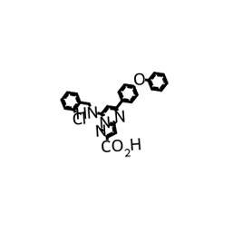 O=C(O)c1cc2nc(-c3ccc(Oc4ccccc4)cc3)cc(NCc3ccccc3Cl)n2n1